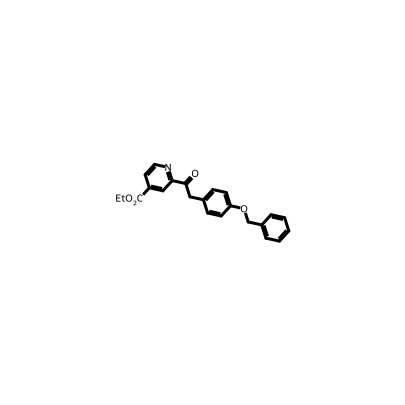 CCOC(=O)c1ccnc(C(=O)Cc2ccc(OCc3ccccc3)cc2)c1